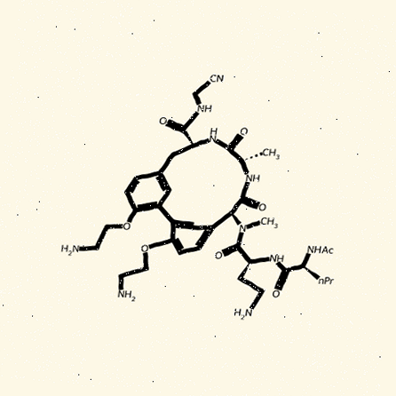 CCC[C@H](NC(C)=O)C(=O)N[C@@H](CCN)C(=O)N(C)[C@@H]1C(=O)N[C@@H](C)C(=O)N[C@H](C(=O)NCC#N)Cc2ccc(OCCN)c(c2)-c2cc1ccc2OCCN